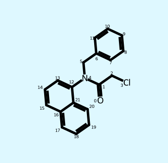 O=C(CCl)N(Cc1ccccc1)c1cccc2ccccc12